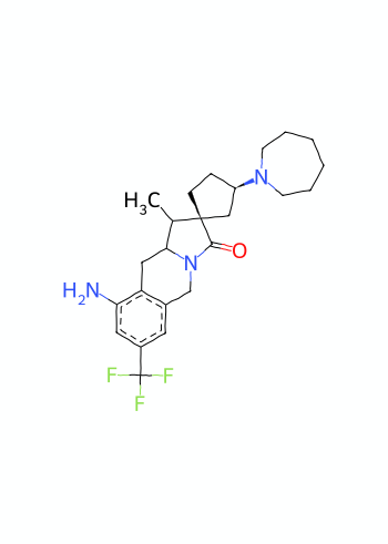 CC1C2Cc3c(N)cc(C(F)(F)F)cc3CN2C(=O)[C@]12CC[C@@H](N1CCCCCC1)C2